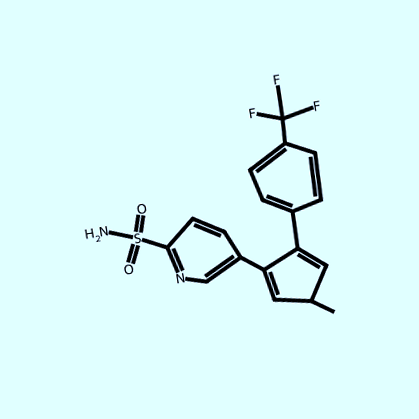 CC1C=C(c2ccc(C(F)(F)F)cc2)C(c2ccc(S(N)(=O)=O)nc2)=C1